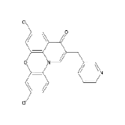 O=c1c(Cc2cccnc2)cn2c3c(cc(Cl)cc13)Oc1cc(Cl)ccc1-2